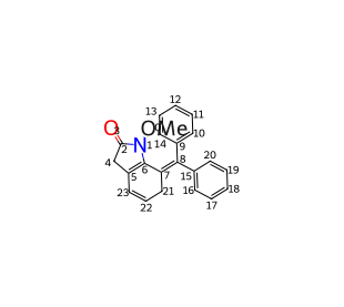 CON1C(=O)CC2=C1C(=C(c1ccccc1)c1ccccc1)CC=C2